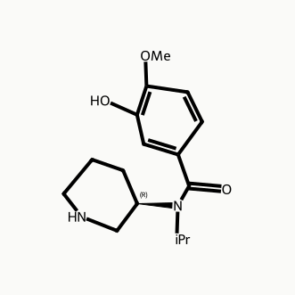 COc1ccc(C(=O)N(C(C)C)[C@@H]2CCCNC2)cc1O